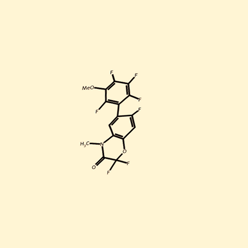 COc1c(F)c(F)c(F)c(-c2cc3c(cc2F)OC(F)(F)C(=O)N3C)c1F